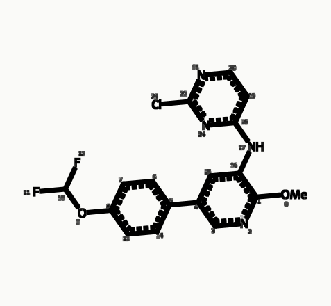 COc1ncc(-c2ccc(OC(F)F)cc2)cc1Nc1ccnc(Cl)n1